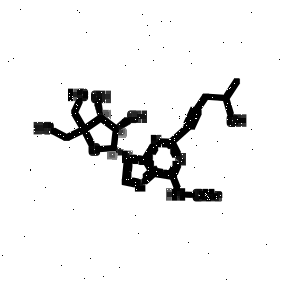 CONc1nc(C#CCC(C)O)nc2c1ncn2[C@@H]1OC(CO)(CO)[C@@H](O)[C@H]1O